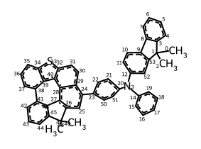 CC1(C)c2ccccc2-c2ccc(N(c3ccccc3)c3ccc(-c4cc5c6c7c4ccc4sc8cccc(c8c47)-c4cccc(c4-6)C5(C)C)cc3)cc21